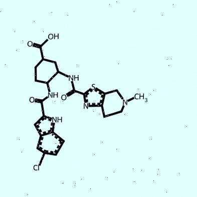 CN1CCc2nc(C(=O)NC3CC(C(=O)O)CCC3NC(=O)c3cc4cc(Cl)ccc4[nH]3)sc2C1